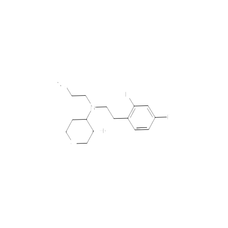 N#CCCN(C[C@@H](O)c1ccc(F)cc1F)C1CCOCC1